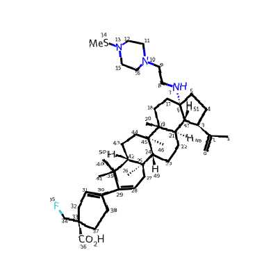 C=C(C)[C@@H]1CC[C@]2(NCCN3CCN(SC)CC3)CC[C@]3(C)[C@H](CC[C@@H]4[C@@]5(C)CC=C(C6=CC[C@](CF)(C(=O)O)CC6)C(C)(C)[C@@H]5CC[C@]43C)[C@@H]12